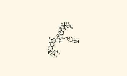 CC(C)[C@]1(F)CCc2nc3c(F)cc(C(=O)N[C@H](CCN4CCC(O)CC4)c4ccc(NS(=O)(=O)N(C)C)nc4)cc3cc2C1